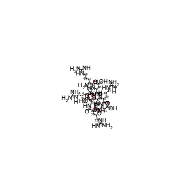 N=C(N)NCCC[C@H](NC(=O)[C@H](CC(=O)O)NC(=O)[C@H](CCCNC(=N)N)NC(=O)[C@H](CC(=O)O)NC(=O)[C@H](CCCNC(=N)N)NC(=O)[C@H](CC(=O)O)NC(=O)[C@H](CC(=O)O)NC(=O)[C@@H](N)CCCNC(=N)N)C(=O)O